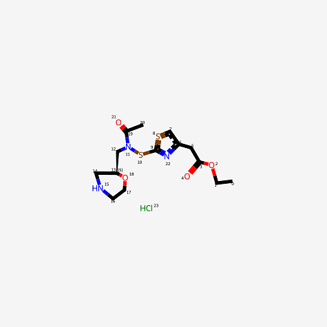 CCOC(=O)Cc1csc(SN(C[C@@H]2CNCCO2)C(C)=O)n1.Cl